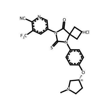 CN1CC[C@@H](Oc2ccc(N3C(=S)N(c4cnc(C#N)c(C(F)(F)F)c4)C(=O)C34CCC4)cc2)C1.Cl